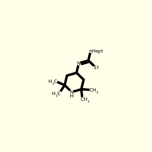 CCCCCCCC(CC)=NC1CC(C)(C)NC(C)(C)C1